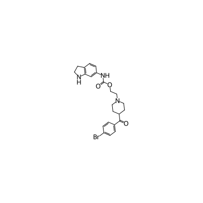 O=C(Nc1ccc2c(c1)NCC2)OCCN1CCC(C(=O)c2ccc(Br)cc2)CC1